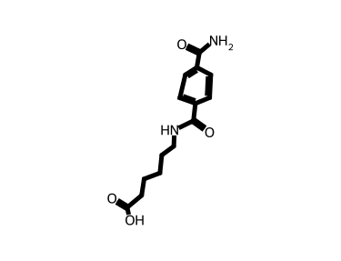 NC(=O)c1ccc(C(=O)NCCCCCC(=O)O)cc1